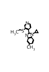 CCSc1cnccc1-c1nc2cc(C)ccc2n1C1CC1